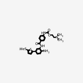 CSc1ccc(-c2ccc(N)c(NC(=O)c3ccc(NC(=O)OCCN(C)C)cc3)c2)s1